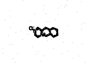 [O-][n+]1cc[n+]2cc3ccccc3cc2c1